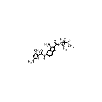 Cn1cc(N)nc1C(=O)Nc1ccc2nc(C(=O)NCC(C)(C)S(C)=S)n(C)c2c1